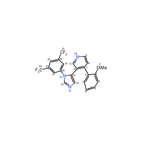 COc1ccccc1-c1ccncc1-c1cncn1-c1cc(C(F)(F)F)cc(C(F)(F)F)c1